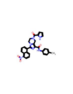 Cc1ccc(NC(=O)c2nc(-c3cccc4c([N+](=O)[O-])cccc34)n3c2CN(C(=O)c2ccc[nH]2)CC3)cc1